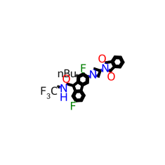 CCCCc1c(F)c(N2CC(N3C(=O)c4ccccc4C3=O)C2)cc2c1C(C(=O)NCC(F)(F)F)c1cc(F)ccc1-2